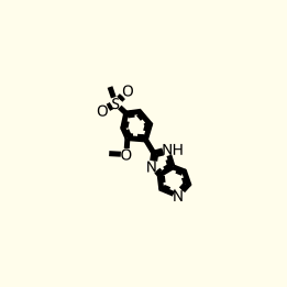 COc1cc(S(C)(=O)=O)ccc1-c1nc2cnccc2[nH]1